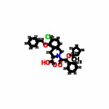 CC1(O[C@@H](C(=O)N2Cc3ccc(Cl)c(OCc4ccccc4)c3C[C@H]2C(=O)O)c2ccccc2)CCCC1